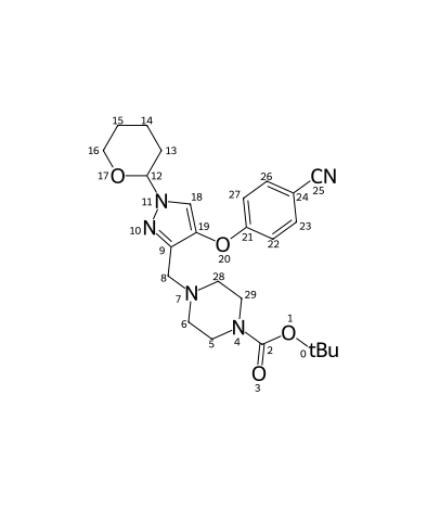 CC(C)(C)OC(=O)N1CCN(Cc2nn(C3CCCCO3)cc2Oc2ccc(C#N)cc2)CC1